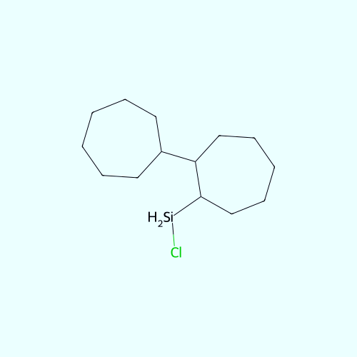 Cl[SiH2]C1CCCCCC1C1CCCCCC1